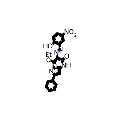 CCOc1c(/N=N/c2cc([N+](=O)[O-])ccc2O)c(=O)[nH]c2cc(-c3ccccc3)nn12